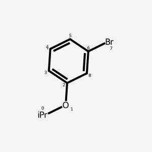 CC(C)Oc1c[c]cc(Br)c1